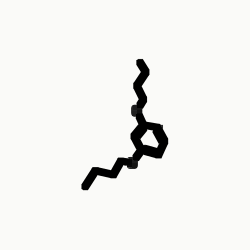 CCCCOc1[c]ccc(OCCCC)c1